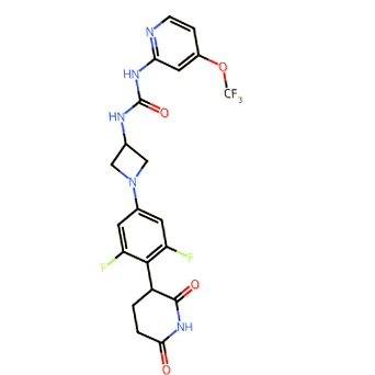 O=C1CCC(c2c(F)cc(N3CC(NC(=O)Nc4cc(OC(F)(F)F)ccn4)C3)cc2F)C(=O)N1